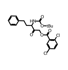 CC(C)(C)OC(=O)NC(CCc1ccccc1)C(=O)COC(=O)c1cc(Cl)ccc1Cl